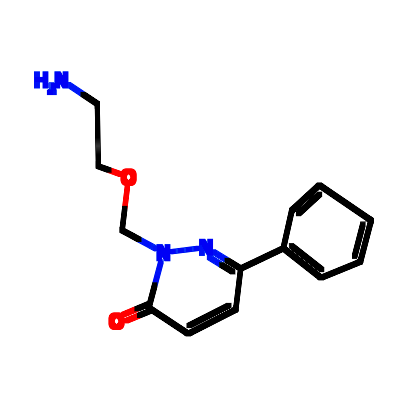 NCCOCn1nc(-c2ccccc2)ccc1=O